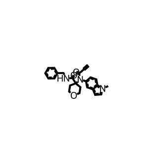 C#CC(=O)N(c1ccc2c(ccn2C)c1)C1(C(=O)NCc2ccccc2)CCOCC1